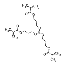 C=C(C)C(=O)OCCCOB(OCCCOC(=O)C(=C)C)OCCCOC(=O)C(=C)C